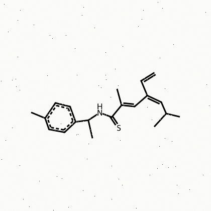 C=CC(=C/C(C)C)/C=C(\C)C(=S)NC(C)c1ccc(C)cc1